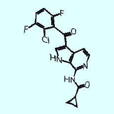 O=C(c1c(F)ccc(F)c1Cl)c1c[nH]c2c(NC(=O)C3CC3)nccc12